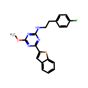 COc1nc(NCCc2ccc(F)cc2)nc(-c2cc3ccccc3s2)n1